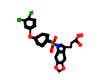 O=C(O)CCc1cn(S(=O)(=O)c2ccc(Oc3ccc(Cl)c(Cl)c3)cc2)c2cc3c(cc12)OCO3